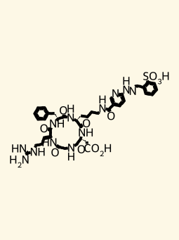 N=C(N)NCC/C=C1\NC(=O)CNC(=O)[C@@H](CC(=O)O)NC(=O)[C@@H](CCCCNC(=O)c2ccc(NN=Cc3ccccc3S(=O)(=O)O)nc2)NC(=O)[C@@H](Cc2ccccc2)NC1=O